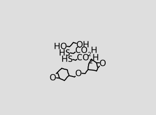 C1CC2OC2CC1COCC1CCC2OC2C1.O=C(O)CS.O=C(O)CS.OCCO